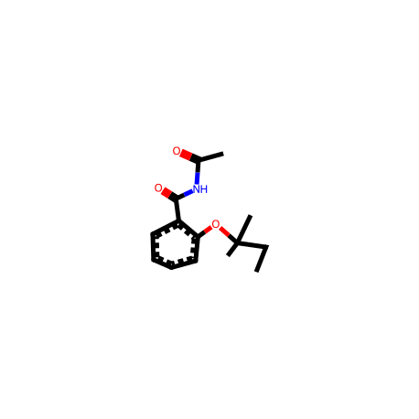 CCC(C)(C)Oc1ccccc1C(=O)NC(C)=O